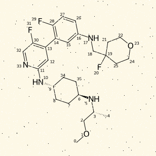 COC[C@@H](C)N[C@H]1CC[C@H](Nc2cc(-c3cc(NCC4(F)CCOCC4)ccc3F)c(F)cn2)CC1